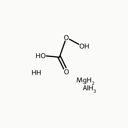 O=C(O)OO.[AlH3].[HH].[MgH2]